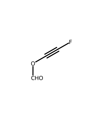 O=COC#CF